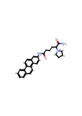 NC(=O)C(CCCC(=O)Nc1ccc2c(ccc3c4ccccc4ccc23)c1)N1CCCC1